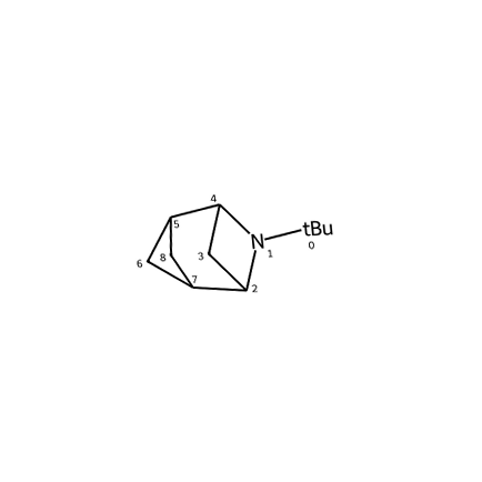 CC(C)(C)N1C2CC1C1CC2C1